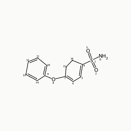 NS(=O)(=O)C1=CC=C(Oc2ccccc2)CC1